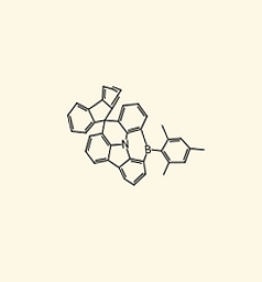 Cc1cc(C)c(B2c3cccc4c3-n3c5c2cccc5c2cccc(c23)C42c3ccccc3-c3ccccc32)c(C)c1